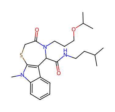 CC(C)CCNC(=O)C1c2c(n(C)c3ccccc23)SCC(=O)N1CCCOC(C)C